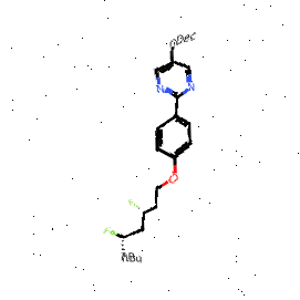 CCCCCCCCCCc1cnc(-c2ccc(OCC[C@@H](F)C[C@@H](F)CCCC)cc2)nc1